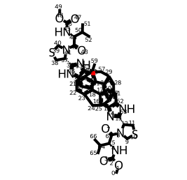 COC(=O)N[C@H](C(=O)N1CSC[C@H]1c1nc2cc(-c3cc4ccc3CCc3ccc(c(-c5ccc6[nH]c([C@@H]7CSCN7C(=O)[C@@H](NC(=O)OC)C(C)C)nc6c5)c3)C[C@H]4C)ccc2[nH]1)C(C)C